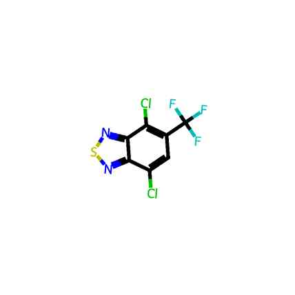 FC(F)(F)c1cc(Cl)c2nsnc2c1Cl